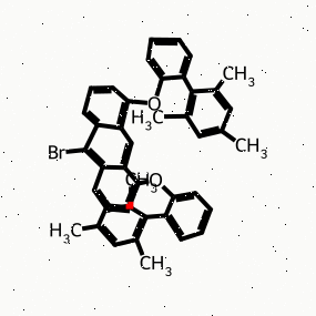 Cc1cc(C)c(-c2ccccc2Oc2cccc3c(Br)c4cccc(Oc5ccccc5-c5c(C)cc(C)cc5C)c4cc23)c(C)c1